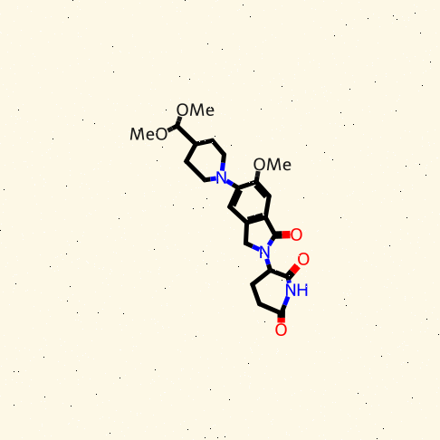 COc1cc2c(cc1N1CCC(C(OC)OC)CC1)CN(C1CCC(=O)NC1=O)C2=O